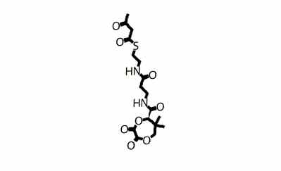 CC(=O)CC(=O)SCCNC(=O)CCNC(=O)[C@@H]1OC(=O)C(=O)OCC1(C)C